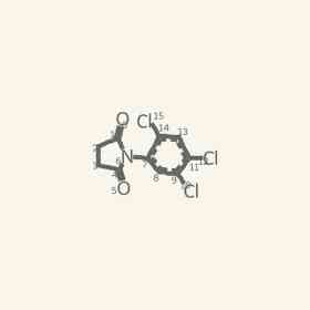 O=C1CCC(=O)N1c1cc(Cl)c(Cl)cc1Cl